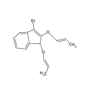 CC=COC1=C(CC)c2ccccc2C1OC=CC